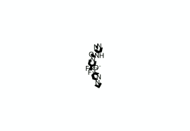 O=C(Nc1ccnnc1)N1CCC(C(F)(F)[S+]([O-])c2ccc(N3CCC3)nc2)CC1